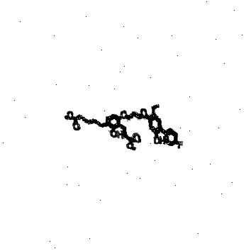 CCc1cc(-c2ccc(F)cc2)c(O)cc1OCCCOc1ccc(CCCCC(=O)OC)c(O)c1CCC(=O)OC